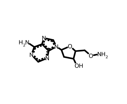 NOCC1OC(n2cnc3c(N)ncnc32)CC1O